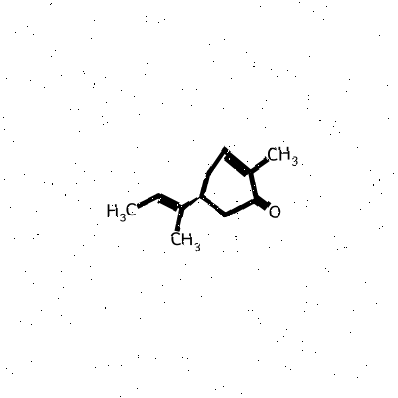 C/C=C(\C)[C@H]1CC=C(C)C(=O)C1